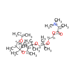 CC(C)OCC(C)C(C)(C)OC(C)C(C)C(C)(C)OCC(C)(C)OCCOC(=O)C(C)N(C)C